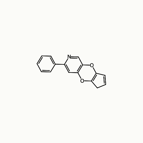 C1=CC2=C(C1)Oc1cc(-c3ccccc3)ncc1O2